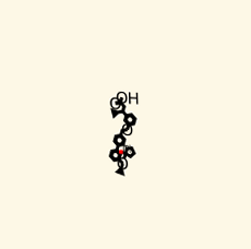 CC1(C)CCC[C@H]1c1cc(COc2cccc(C(CC(=O)O)C3CC3)c2)ccc1-c1cccc(OC2CC2)c1